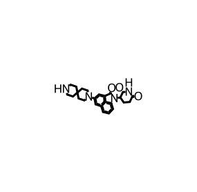 O=C1CCC(N2C(=O)c3cc(N4CCC5(CCNCC5)CC4)cc4cccc2c34)C(=O)N1